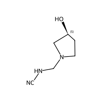 N#CNCN1CC[C@H](O)C1